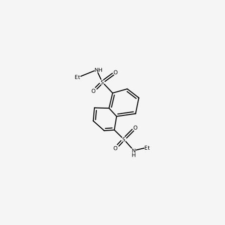 CCNS(=O)(=O)c1cccc2c(S(=O)(=O)NCC)cccc12